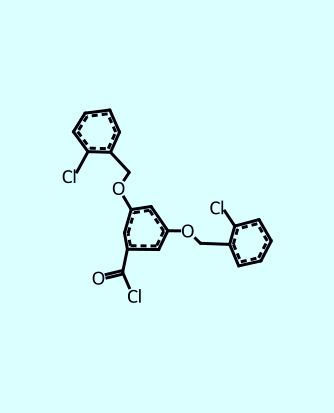 O=C(Cl)c1cc(OCc2ccccc2Cl)cc(OCc2ccccc2Cl)c1